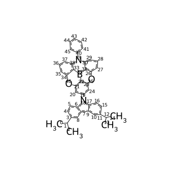 CC(C)c1ccc2c(c1)c1cc(C(C)C)ccc1n2-c1cc2c3c(c1)Oc1cccc4c1B3c1c(cccc1N4c1ccccc1)O2